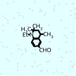 CCN1c2ccc(C=O)cc2C(C)CC1(C)C